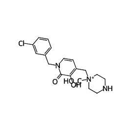 O=C(O)[N+]1(Cc2ccn(Cc3cccc(Cl)c3)c(=O)c2O)CCNCC1